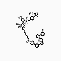 Cc1ncsc1-c1ccc(CNC(=O)[C@@H]2C[C@@H](O)CN2C(=O)[C@@H](NC(=O)CCCCCCCCC(=O)N2CCN(c3cccc(-c4cnc5ccc(N6CCCC6c6cccc(F)c6)nn45)n3)CC2)C(C)(C)C)cc1